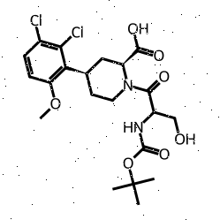 COc1ccc(Cl)c(Cl)c1[C@@H]1CCN(C(=O)C(CO)NC(=O)OC(C)(C)C)[C@H](C(=O)O)C1